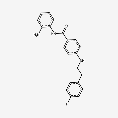 Nc1ccccc1NC(=O)c1ccc(NCCc2ccc(F)cc2)nc1